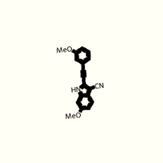 COc1cccc(C#Cc2[nH]c3cc(OC)ccc3c2C#N)c1